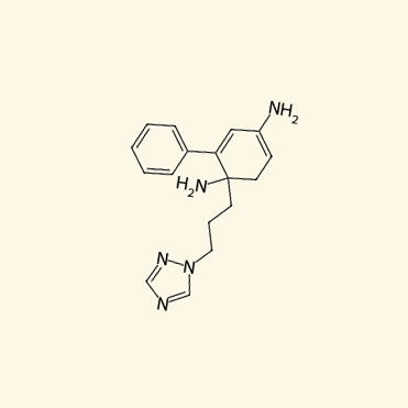 NC1=CCC(N)(CCCn2cncn2)C(c2ccccc2)=C1